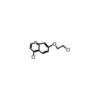 ClCCOc1ccc2c(Cl)ccnc2c1